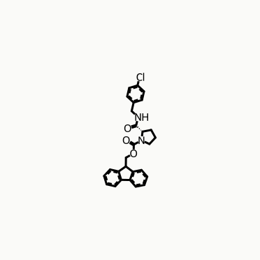 O=C(NCc1ccc(Cl)cc1)[C@@H]1CCCN1C(=O)OCC1c2ccccc2-c2ccccc21